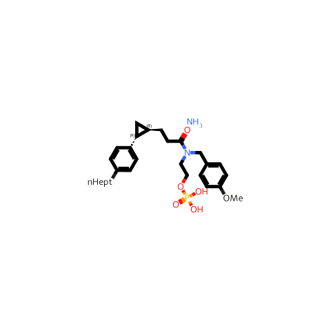 CCCCCCCc1ccc([C@@H]2C[C@H]2CCC(=O)N(CCOP(=O)(O)O)Cc2ccc(OC)cc2)cc1.N